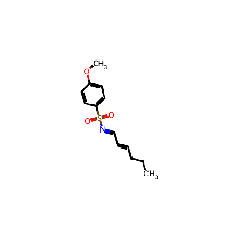 CCC/C=C/C=N/S(=O)(=O)c1ccc(OC)cc1